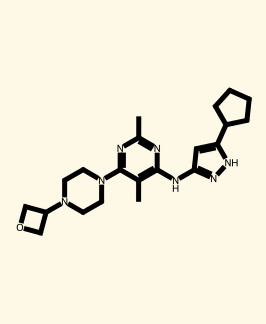 Cc1nc(Nc2cc(C3CCCC3)[nH]n2)c(C)c(N2CCN(C3COC3)CC2)n1